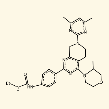 CCNC(=O)Nc1ccc(-c2nc3c(c(N4CCOCC4C)n2)CCN(c2nc(C)cc(C)n2)C3)cc1